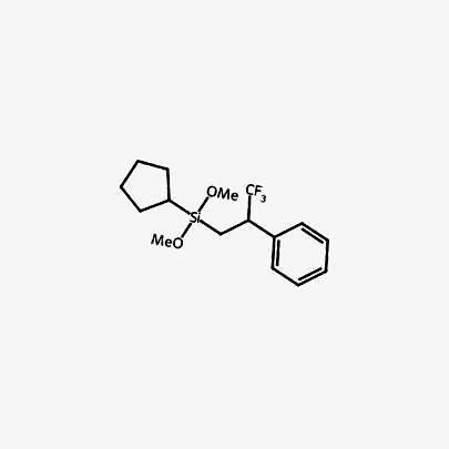 CO[Si](CC(c1ccccc1)C(F)(F)F)(OC)C1CCCC1